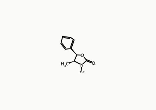 CC(=O)N1C(=O)O[C@H](c2ccccc2)[C@@H]1C